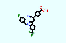 N#CC(=Cc1cn(Cc2ccc(F)cc2)c2cc(C(F)(F)F)ccc12)c1ccc(C(=O)O)cc1